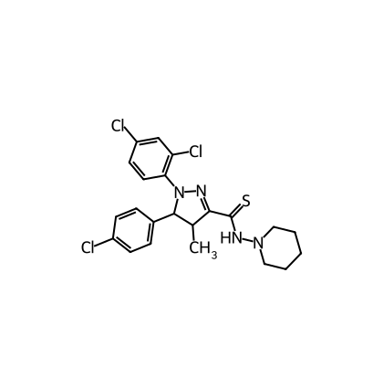 CC1C(C(=S)NN2CCCCC2)=NN(c2ccc(Cl)cc2Cl)C1c1ccc(Cl)cc1